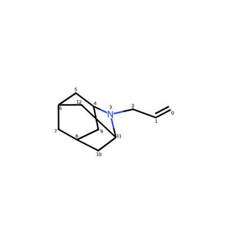 C=CCN1C2CC3CC(C2)CC1C3